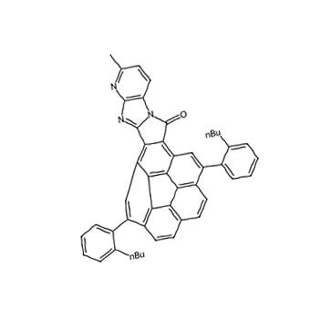 CCCCc1ccccc1-c1cc2c3c(=O)n4c5ccc(C)nc5nc4c3c3cc(-c4ccccc4CCCC)c4ccc5ccc1c1c5c4c3c21